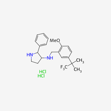 COc1ccc(C(C)(C)C(F)(F)F)cc1CNC1CCNC1c1ccccc1.Cl.Cl